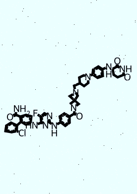 NC(=O)c1ccc(Nc2nc(Nc3ccc(C(=O)N4CC5(CN(CC6CCN(c7ccc(NC8CCC(=O)NC8=O)cc7)CC6)C5)C4)cc3)ncc2F)cc1-c1ccccc1Cl